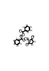 O=C(OOC(=O)c1ccccc1)c1ccccc1.O=C1CCC(=O)N1Cl